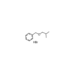 Br.CC(C)COCc1ccccc1